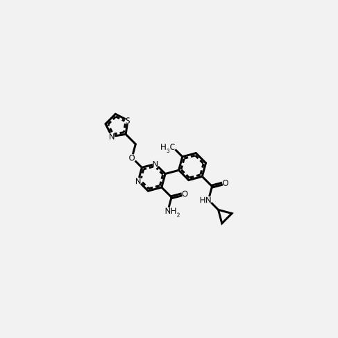 Cc1ccc(C(=O)NC2CC2)cc1-c1nc(OCc2nccs2)ncc1C(N)=O